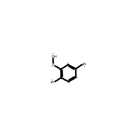 CC(C)c1ccc(C(C)C)c(OO)c1